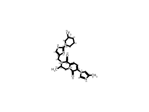 Cc1cn(-c2ccc3n(c2=O)CC(C)N(Cc2csc(N4CCCC(C(F)(F)F)C4)n2)C3=O)cn1